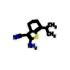 CC(C)C1=C2SC(N)=C(C#N)C2CC=C1